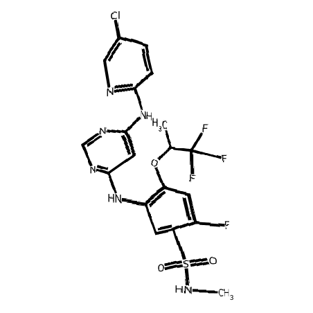 CNS(=O)(=O)c1cc(Nc2cc(Nc3ccc(Cl)cn3)ncn2)c(OC(C)C(F)(F)F)cc1F